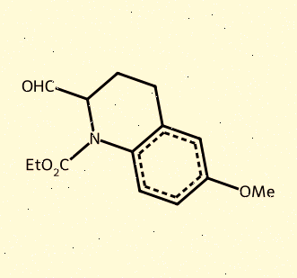 CCOC(=O)N1c2ccc(OC)cc2CCC1C=O